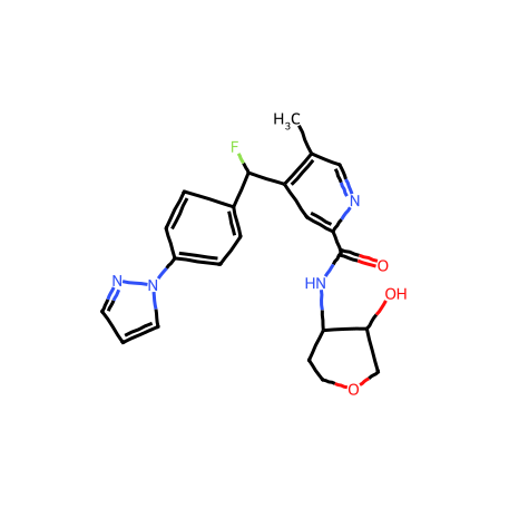 Cc1cnc(C(=O)NC2CCOCC2O)cc1C(F)c1ccc(-n2cccn2)cc1